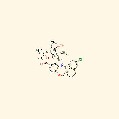 C=C[C@@H](O)[C@]1(C)CC[C@H]1CN1C[C@@]2(CCCc3cc(Cl)ccc32)COc2ccc(C(=O)OC(C)(C)C)cc21